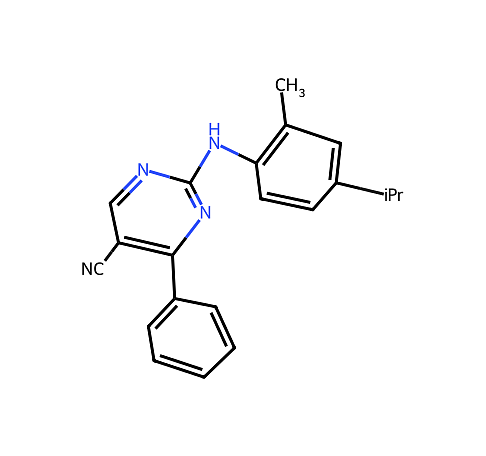 Cc1cc(C(C)C)ccc1Nc1ncc(C#N)c(-c2ccccc2)n1